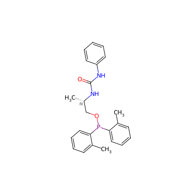 Cc1ccccc1P(OC[C@H](C)NC(=O)Nc1ccccc1)c1ccccc1C